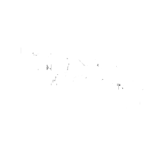 O=C(c1ccc(OC2CC(N3CCCCC3)C2)cc1)N1CC(O)C1